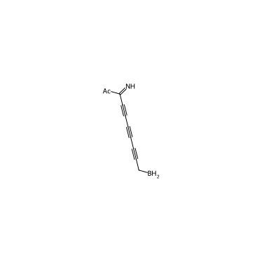 BCC#CC#CC#CC(=N)C(C)=O